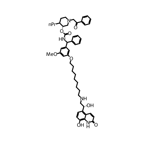 CCCC1CCN(CC(=O)c2ccccc2)C[C@@H]1OC(=O)NC(c1ccccc1)c1cc(OC)cc(OCCCCCCCCCNC[C@H](O)c2ccc(O)c3[nH]c(=O)ccc23)c1